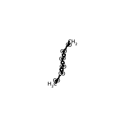 C=CC(=O)OCCCCOC(=O)c1ccc(OC(=O)C2CCC(C(=O)OC3CCC(C(=O)OCCCCOC(=O)C=C)CC3)CC2)cc1